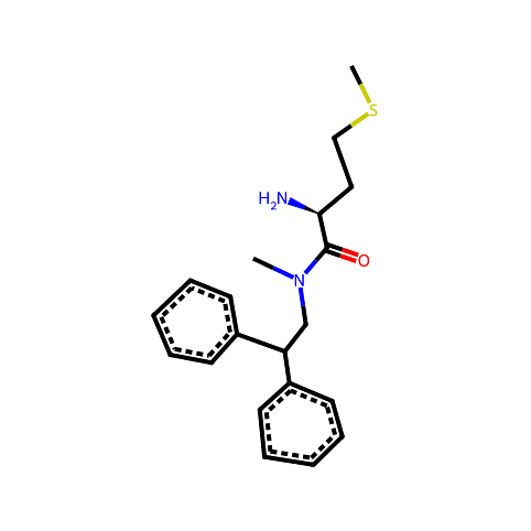 CSCC[C@H](N)C(=O)N(C)CC(c1ccccc1)c1ccccc1